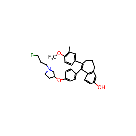 Cc1cc(C2=C(c3ccc(OC4CCN(CCCF)C4)cc3)c3ccc(O)cc3CCC2)ccc1OC(F)(F)F